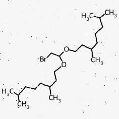 CC(C)CCCC(C)CCOC(CBr)OCCC(C)CCCC(C)C